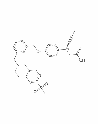 CC#C[C@@H](CC(=O)O)c1ccc(OCc2cccc(CN3CCc4nc(S(C)(=O)=O)ncc4C3)c2)cc1